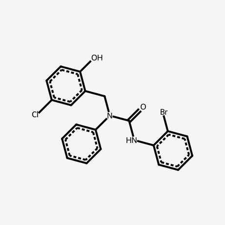 O=C(Nc1ccccc1Br)N(Cc1cc(Cl)ccc1O)c1ccccc1